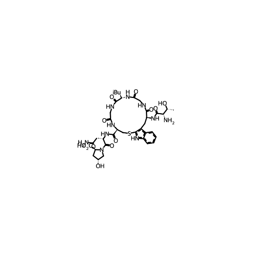 CC[C@H](C)[C@@H]1NC(=O)CNC(=O)[C@@H](NC(=O)[C@@H](N)[C@@H](C)O)Cc2c([nH]c3ccccc23)SC[C@@H](C(=O)N[C@@H](CC(N)=O)C(=O)N2C[C@H](O)C[C@H]2C(=O)O)NC(=O)CNC1=O